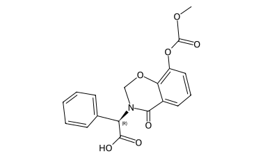 COC(=O)Oc1cccc2c1OCN([C@@H](C(=O)O)c1ccccc1)C2=O